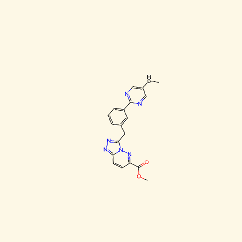 CBc1cnc(-c2cccc(Cc3nnc4ccc(C(=O)OC)nn34)c2)nc1